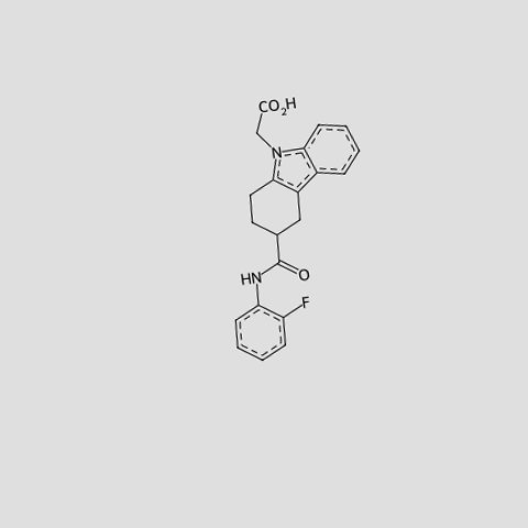 O=C(O)Cn1c2c(c3ccccc31)CC(C(=O)Nc1ccccc1F)CC2